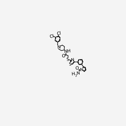 NC(=O)n1cccc1-c1cccc(-c2csc(SCC(=O)NC3CCN(Cc4ccc(Cl)c(Cl)c4)CC3)n2)c1